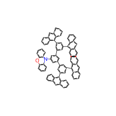 c1ccc2c(c1)Oc1ccccc1N2c1cc(-c2cc(-c3c4ccccc4cc4ccccc34)cc(-c3c4ccccc4cc4ccccc34)c2)cc(-c2cc(-c3c4ccccc4cc4ccccc34)cc(-c3c4ccccc4cc4ccccc34)c2)c1